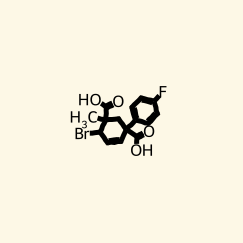 CC1(C(=O)O)CC(C(=O)O)(c2ccc(F)cc2)C=CC1Br